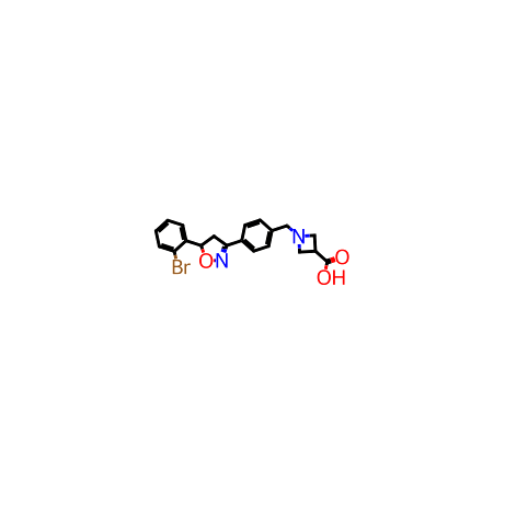 O=C(O)C1CN(Cc2ccc(C3=NOC(c4ccccc4Br)C3)cc2)C1